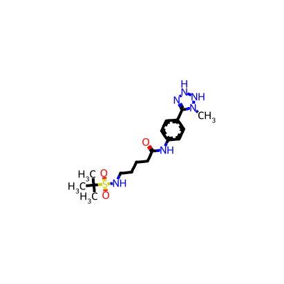 CN1NNN=C1c1ccc(NC(=O)CCCCNS(=O)(=O)C(C)(C)C)cc1